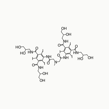 CN(CC(=O)Nc1c(I)c(C(=O)NCC(O)CO)c(I)c(C(=O)NCC(O)CO)c1I)CC(=O)Nc1c(I)c(C(=O)NCC(O)CO)c(I)c(C(=O)NCC(O)CO)c1I